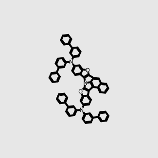 c1ccc(-c2cccc(N(c3cccc(-c4ccccc4)c3)c3ccc4c(c3)oc3c4c4c5ccccc5cc5c6oc7cc(N(c8cccc(-c9ccccc9)c8)c8cccc(-c9ccccc9)c8)ccc7c6n3c54)c2)cc1